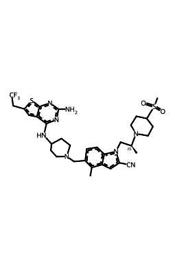 Cc1c(CN2CCC(Nc3nc(N)nc4sc(CC(F)(F)F)cc34)CC2)ccc2c1cc(C#N)n2C[C@H](C)N1CCC(S(C)(=O)=O)CC1